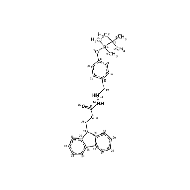 CC(C)(C)[Si](C)(C)Oc1ccc(CNNC(=O)OCC2c3ccccc3-c3ccccc32)cc1